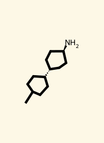 CC1CCC([C@H]2CC[C@H](N)CC2)CC1